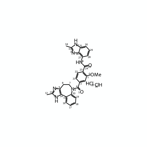 COc1cc(C(=O)N2CCc3nc(C)[nH]c3-c3ccccc32)ccc1C(=O)Nc1cccc2[nH]c(C)nc12.Cl.Cl